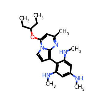 CCC(CC)Oc1cc(C)nc2c(-c3c(NC)cc(NC)cc3NC)ccn12